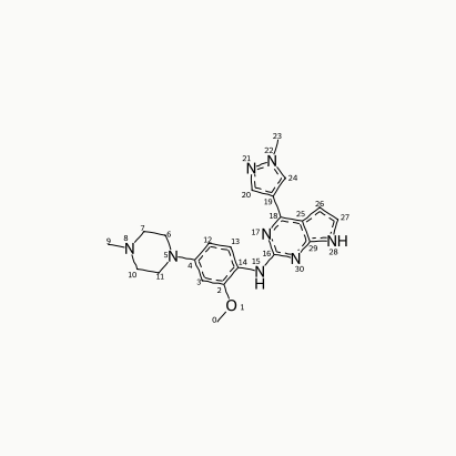 COc1cc(N2CCN(C)CC2)ccc1Nc1nc(-c2cnn(C)c2)c2cc[nH]c2n1